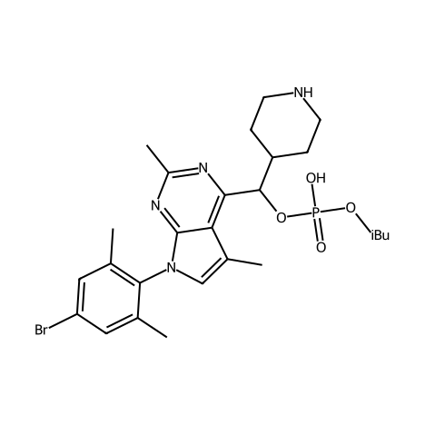 CCC(C)OP(=O)(O)OC(c1nc(C)nc2c1c(C)cn2-c1c(C)cc(Br)cc1C)C1CCNCC1